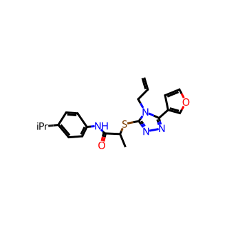 C=CCn1c(SC(C)C(=O)Nc2ccc(C(C)C)cc2)nnc1-c1ccoc1